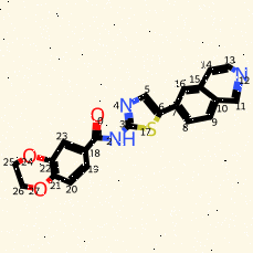 O=C(Nc1ncc(-c2ccc3cnccc3c2)s1)c1ccc2c(c1)OCCO2